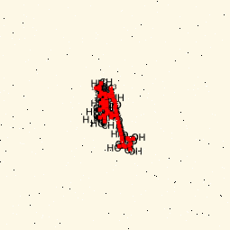 CCCC[C@H](NC(=O)CCC(=O)NCCCOCCOCCOCCCNC(=O)CN1CCN(CC(=O)O)CCN(CC(=O)O)CCN(CC(=O)O)CC1)C(=O)N[C@@H](CSC1=C(SC[C@H](NC(=O)[C@H](Cc2ccccc2)NC(=O)[C@H](CCC(N)=O)NC(=O)C[C@@H](C)O)C(=O)NCCC(=O)O)C(=O)NC1=O)C(=O)N1CCC[C@H]1C(=O)N1CCC[C@H]1C(=O)NC